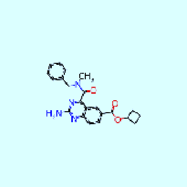 CN(Cc1ccccc1)C(=O)c1nc(N)nc2ccc(C(=O)OC3CCC3)cc12